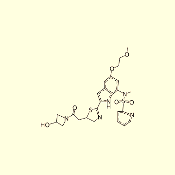 COCCOc1cc(N(C)S(=O)(=O)c2ccccn2)c2[nH]c(C3=NCC(CC(=O)N4CC(O)C4)S3)cc2c1